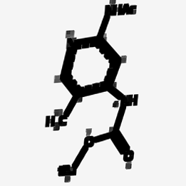 CC(=O)Nc1cc(NC(=O)OC(C)(C)C)c(C)cn1